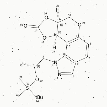 C[C@H](Cn1ncc2ccc3c(c21)[C@H]1OC(=O)O[C@H]1CO3)O[Si](C)(C)C(C)(C)C